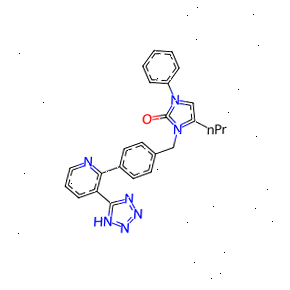 CCCc1cn(-c2ccccc2)c(=O)n1Cc1ccc(-c2ncccc2-c2nnn[nH]2)cc1